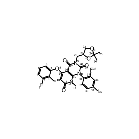 Cc1c(F)cccc1Oc1cc(=O)n(C)c2c1c(=O)n(CC1COC(C)(C)O1)c(=O)n2-c1ccc(I)cc1F